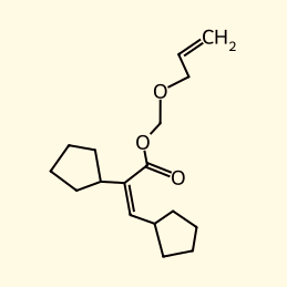 C=CCOCOC(=O)C(=CC1CCCC1)C1CCCC1